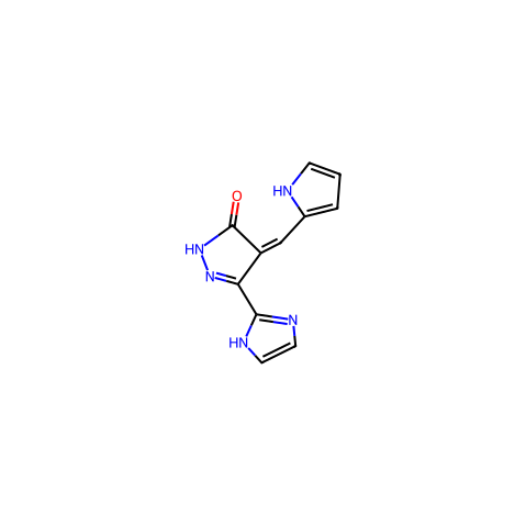 O=C1NN=C(c2ncc[nH]2)C1=Cc1ccc[nH]1